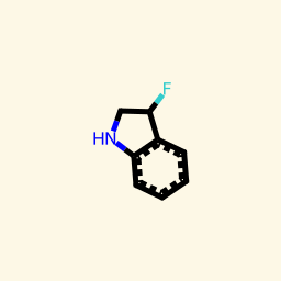 FC1CNc2ccccc21